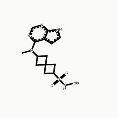 CN(c1ncnc2[nH]ccc12)C1CC2(C1)CC(S(=O)(=O)NC(C)(C)C)C2